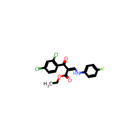 CCOC(=O)C(=CNc1ccc(F)cc1)C(=O)c1ccc(Cl)cc1Cl